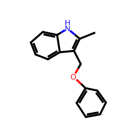 Cc1[nH]c2ccccc2c1COc1cc[c]cc1